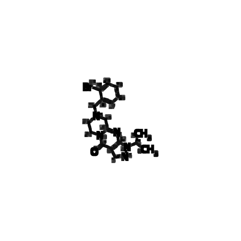 CC(C)n1ncc2c(=O)n3c(nc21)CN(Cc1ccccc1Br)CC3